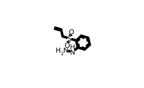 C=CCS(=O)(=O)c1ccccc1NN